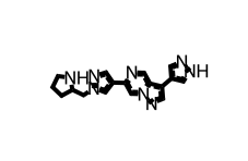 c1nn(CC2CCCN2)cc1-c1cn2ncc(-c3cn[nH]c3)c2cn1